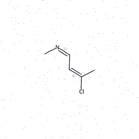 C/N=C\C=C(/C)Cl